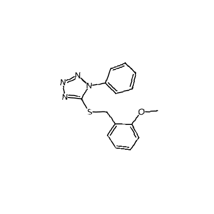 COc1ccccc1CSc1nnnn1-c1ccccc1